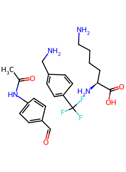 CC(=O)Nc1ccc(C=O)cc1.NCCCC[C@H](N)C(=O)O.NCc1ccc(C(F)(F)F)cc1